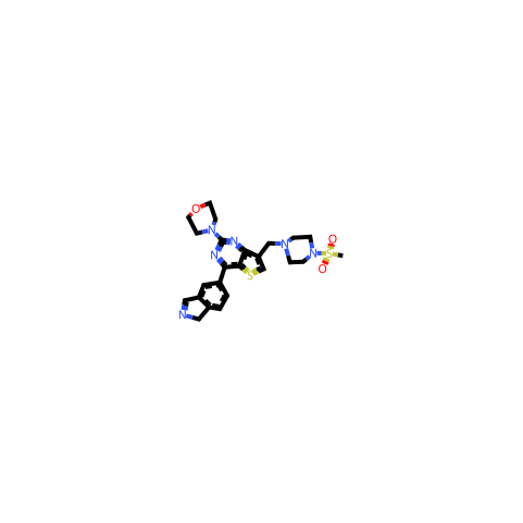 CS(=O)(=O)N1CCN(Cc2csc3c(-c4ccc5c(c4)C=NC5)nc(N4CCOCC4)nc23)CC1